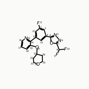 Fc1cc(-c2nnc(C(F)F)o2)cc(-c2ncccc2OC2CCOCC2)c1